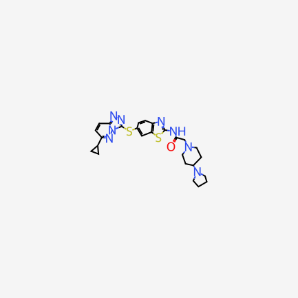 O=C(CN1CCC(N2CCCC2)CC1)Nc1nc2ccc(Sc3nnc4ccc(C5CC5)nn34)cc2s1